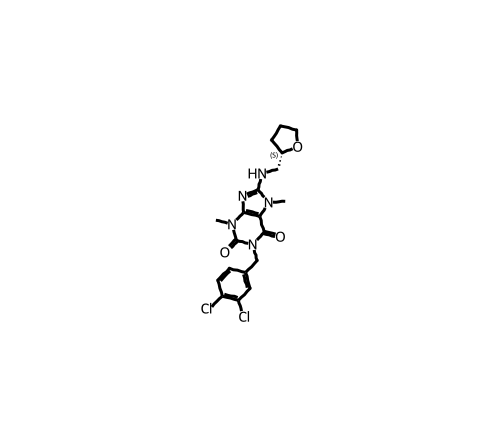 Cn1c(NC[C@@H]2CCCO2)nc2c1c(=O)n(Cc1ccc(Cl)c(Cl)c1)c(=O)n2C